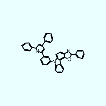 c1ccc(-c2cc(-c3ccccc3)nc(-c3cccc(-n4c5ccccc5c5c6oc(-c7ccccc7)nc6ccc54)c3)c2)cc1